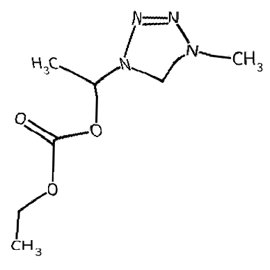 CCOC(=O)OC(C)N1CN(C)N=N1